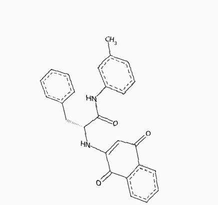 Cc1cccc(NC(=O)[C@@H](Cc2ccccc2)NC2=CC(=O)c3ccccc3C2=O)c1